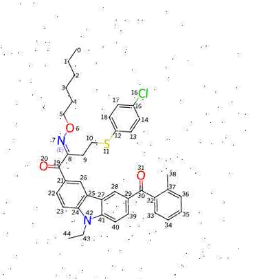 CCCCCCO/N=C(\CCSc1ccc(Cl)cc1)C(=O)c1ccc2c(c1)c1cc(C(=O)c3ccccc3C)ccc1n2CC